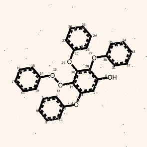 Oc1cc(Oc2ccccc2)c(OOc2ccccc2)c(Oc2ccccc2)c1Oc1ccccc1